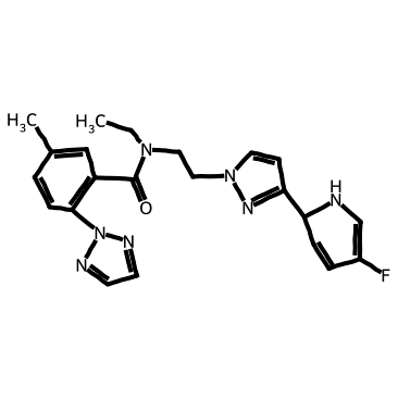 CCN(CCn1ccc(C2C=CC(F)=CN2)n1)C(=O)c1cc(C)ccc1-n1nccn1